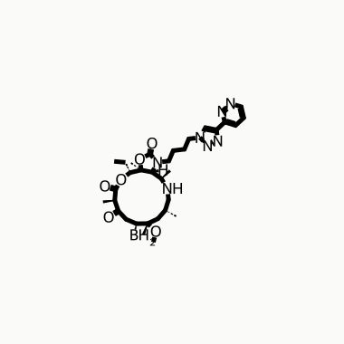 B[C@@H]1CC(=O)[C@@H](C)C(=O)O[C@H](CC)[C@@]2(C)OC(=O)N(CCCCn3cc(-c4cccnn4)nn3)[C@@H]2[C@@H](C)NC[C@H](C)C[C@]1(C)OC